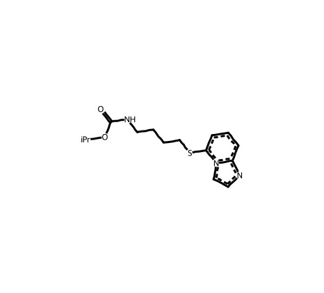 CC(C)OC(=O)NCCCCSc1cccc2nccn12